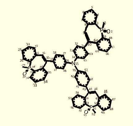 CP1(=O)c2ccccc2C=C(c2ccc(N(c3ccc(C4=Cc5ccccc5P(C)(=O)c5ccccc54)cc3)c3ccc(C4=Cc5ccccc5P(C)(=O)c5ccccc54)cc3)cc2)c2ccccc21